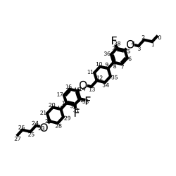 CCCCOc1ccc(C2CCC(COc3ccc(C4CCC(OCCCC)CC4)c(F)c3F)CC2)cc1F